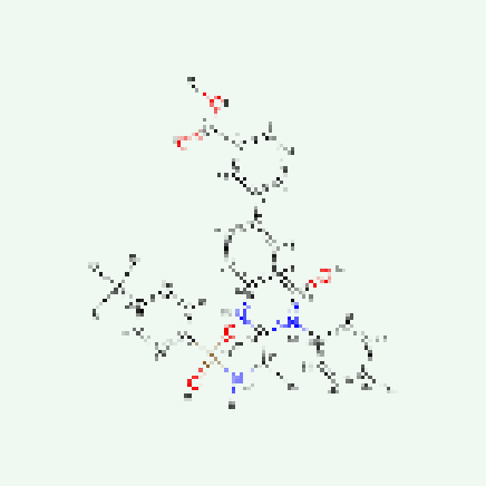 COC(=O)c1cccc(-c2ccc3nc(C(C)N(C)S(=O)(=O)c4ccc(C(C)(C)C)cc4)n(-c4ccc(C)cc4)c(=O)c3c2)c1